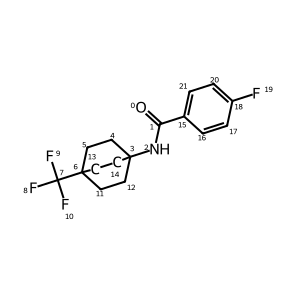 O=C(NC12CCC(C(F)(F)F)(CC1)CC2)c1ccc(F)cc1